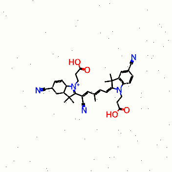 CC(/C=C(\C#N)C1=[N+](CCC(=O)O)C2C=CC(C#N)CC2C1(C)C)=C\C=C1\N(CCC(=O)O)c2ccc(C#N)cc2C1(C)C